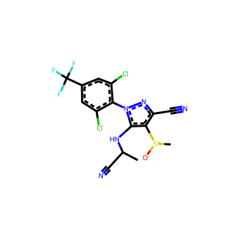 CC(C#N)Nc1c([S+](C)[O-])c(C#N)nn1-c1c(Cl)cc(C(F)(F)F)cc1Cl